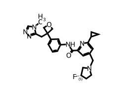 Cn1cnnc1CC1(c2cccc(NC(=O)c3cc(CN4CC[C@H](F)C4)cc(C4CC4)n3)c2)COC1